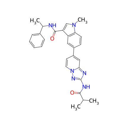 CC(C)C(=O)Nc1nc2cc(-c3ccc4c(c3)c(C(=O)NC(C)c3ccccc3)cn4C)ccn2n1